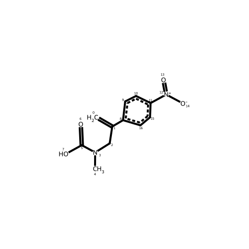 C=C(CN(C)C(=O)O)c1ccc([N+](=O)[O-])cc1